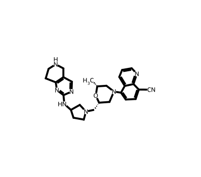 C[C@@H]1CN(c2ccc(C#N)c3ncccc23)C[C@H](CN2CCC(Nc3ncc4c(n3)CCNC4)C2)O1